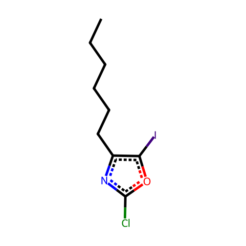 CCCCCCc1nc(Cl)oc1I